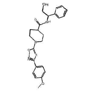 COc1ccc(-c2noc(N3CCC(C(=O)NC(CO)c4ccccc4)CC3)n2)cc1